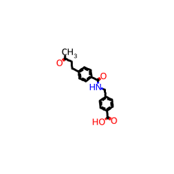 CC(=O)CCc1ccc(C(=O)NCc2ccc(C(=O)O)cc2)cc1